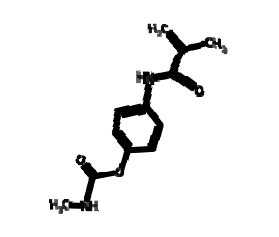 C=C(C)C(=O)Nc1ccc(OC(=O)NC)cc1